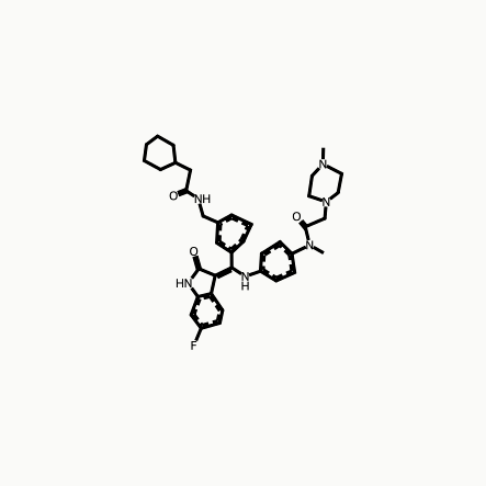 CN1CCN(CC(=O)N(C)c2ccc(NC(=C3C(=O)Nc4cc(F)ccc43)c3cccc(CNC(=O)CC4CCCCC4)c3)cc2)CC1